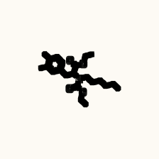 CCCCCCN(C(=O)OCC)C(Cc1ccc(C)c(C)c1)C(=O)OCC